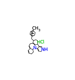 CC12CCC(CC3CCC4C5=CNCC=C5N5C4=C3CC=C3C=CCCC35)(CC1)CC2.Cl